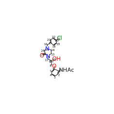 CC(=O)Nc1ccccc1OC[C@@H](O)CN1CCN(Cc2ccc(Cl)cc2)CC1=O